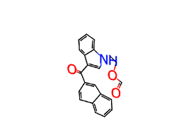 CCOC=O.O=C(c1ccc2ccccc2c1)c1c[nH]c2ccccc12